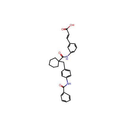 O=C(O)/C=C/c1cccc(NC(=O)C2(Cc3ccc(NC(=O)c4ccccc4)cc3)CCCCC2)c1